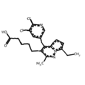 CCc1ccc2c(-c3cnc(Cl)c(Cl)c3)c(CCCCC(=O)O)c(C)nn12